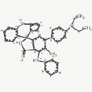 CCN(CC)c1ccc(-c2cc3c(c(Nc4ccccc4)c2N)C(=O)OC32c3ccccc3Oc3ccccc32)cc1